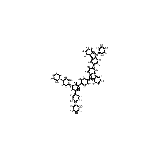 c1ccc(-c2ccc(-c3cc(-c4ccc(-c5ccccc5)cc4)nc(-c4ccc(-n5c6ccccc6c6cc(-c7ccc8c(c7)c7ccccc7n8-c7ccccc7)ccc65)cc4)n3)cc2)cc1